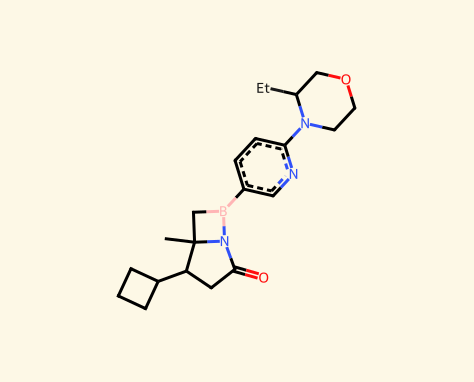 CCC1COCCN1c1ccc(B2CC3(C)C(C4CCC4)CC(=O)N23)cn1